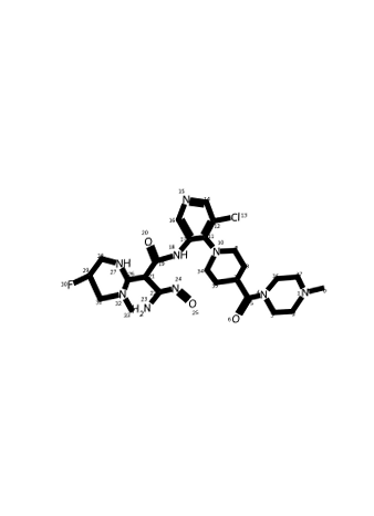 CN1CCN(C(=O)C2CCN(c3c(Cl)cncc3NC(=O)C(C(N)N=O)C3NCC(F)CN3C)CC2)CC1